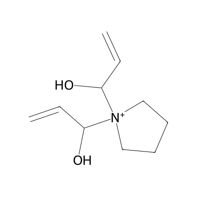 C=CC(O)[N+]1(C(O)C=C)CCCC1